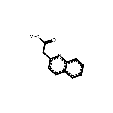 COC(=O)Cc1ccc2ccccc2n1